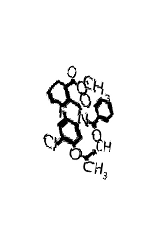 C#CC(C)Oc1cc(N(C(=O)C2=C(C(=O)OC)CCCC2)C(=O)c2ccccc2)c(F)cc1Cl